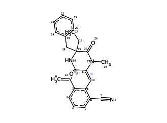 C=Cc1cccc(C#N)c1/C=C1\C(=O)NC(CC)(Cc2ccccc2)C(=O)N1C